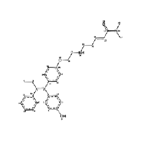 CCC(=C(c1ccc(O)cc1)c1ccc(OCCNCCC=CC(=O)N(C)C)cc1)c1ccccc1